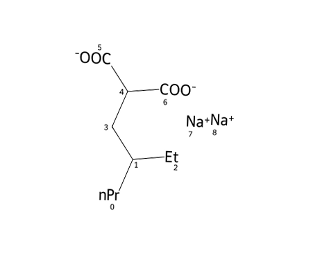 CCCC(CC)CC(C(=O)[O-])C(=O)[O-].[Na+].[Na+]